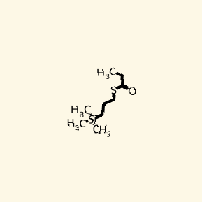 CCC(=O)SCCC[Si](C)(C)C